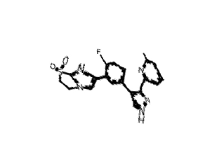 Cc1cccc(-c2n[nH]cc2-c2ccc(F)c(-c3cn4c(n3)S(=O)(=O)CC4)c2)n1